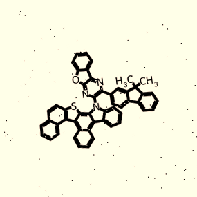 CC1(C)c2ccccc2-c2ccc(-c3nc4c(nc3-n3c5ccccc5c5c6ccccc6c6c(sc7ccc8ccccc8c76)c53)oc3ccccc34)cc21